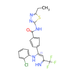 CCc1nnc(NC(=O)c2ccc(/C(=C/C(=N)C(F)(F)F)Nc3ccccc3Cl)cc2)s1